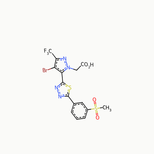 CS(=O)(=O)c1cccc(-c2nnc(-c3c(Br)c(C(F)(F)F)nn3CC(=O)O)s2)c1